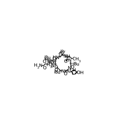 CCC(C)C(=O)N[C@@H](CCC(N)=O)C(=O)N[C@@H]1C(=O)N[C@@H](CC(C)C)C(=O)N[C@H]2CC(C)N(C2=O)[C@H](C(C)CC)C(=O)N(C)[C@@H](Cc2ccc(O)cc2)C(=O)N[C@@H](C(C)CC)C(=O)O[C@@H]1C